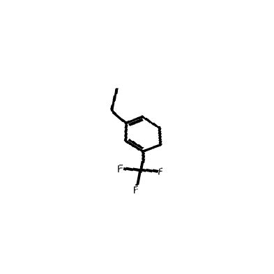 CCC1=CCCC(C(F)(F)F)=C1